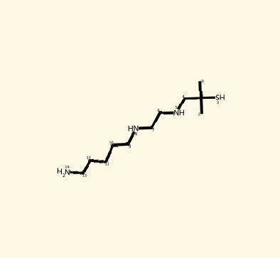 CC(C)(S)CNCCNCCCCCN